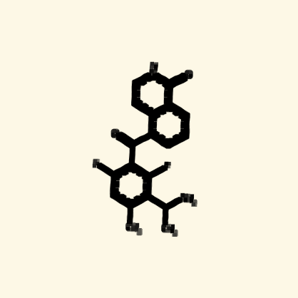 Cc1cc(F)c(C(=O)c2cccc3c(=O)[nH]ccc23)c(F)c1C(C)N